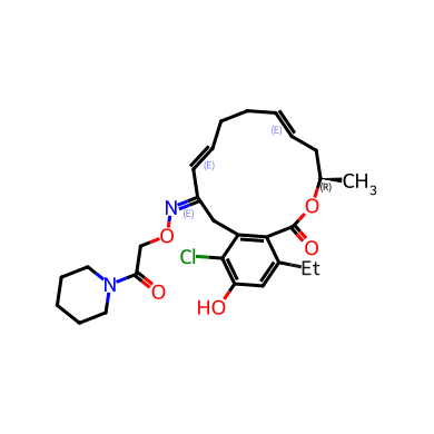 CCc1cc(O)c(Cl)c2c1C(=O)O[C@H](C)C/C=C/CC/C=C/C(=N/OCC(=O)N1CCCCC1)C2